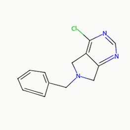 Clc1ncnc2c1CN(Cc1ccccc1)C2